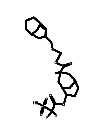 CC1(C(=O)OCOCC2C=C3CCCC(C3)C2)CC2CCC(OC(=O)C(F)(F)S(=O)(=O)O)C(C2)C1